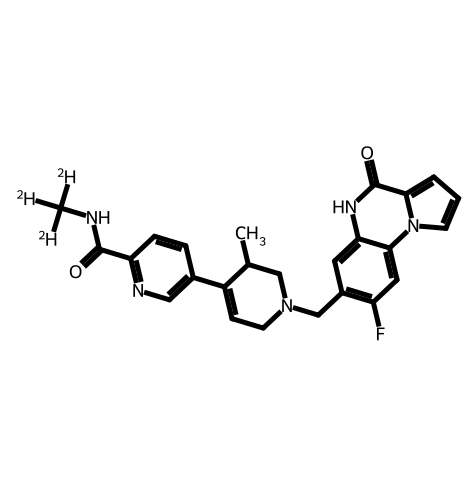 [2H]C([2H])([2H])NC(=O)c1ccc(C2=CCN(Cc3cc4[nH]c(=O)c5cccn5c4cc3F)CC2C)cn1